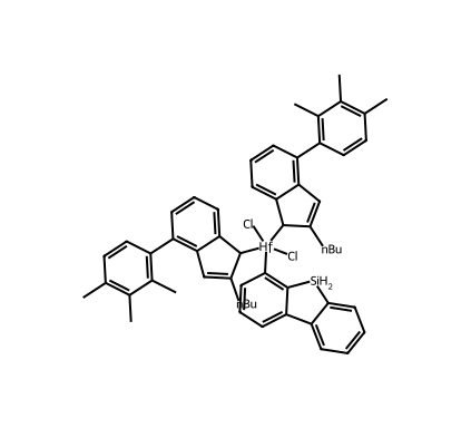 CCCCC1=Cc2c(-c3ccc(C)c(C)c3C)cccc2[CH]1[Hf]([Cl])([Cl])([c]1cccc2c1[SiH2]c1ccccc1-2)[CH]1C(CCCC)=Cc2c(-c3ccc(C)c(C)c3C)cccc21